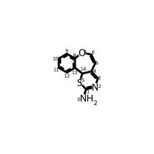 NC1=NC=C2C=COc3ccccc3C2S1